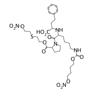 O=C(NCCCCC(NC(CCc1ccccc1)C(=O)O)C(=O)N1CCCC1C(=O)OCCSCCO[N+](=O)[O-])OCCCCO[N+](=O)[O-]